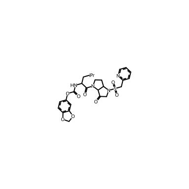 CC(C)CC(NC(=O)Oc1ccc2c(c1)OCO2)C(=O)N1CCC2C1C(=O)CN2S(=O)(=O)Cc1ccccn1